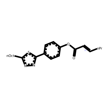 CCC/C=C/C(=O)Oc1ccc(-c2nnc(CCCCCCCC)s2)cc1